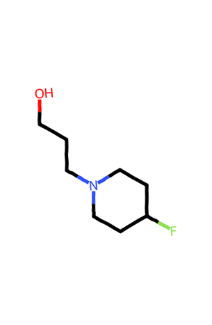 OCCCN1CCC(F)CC1